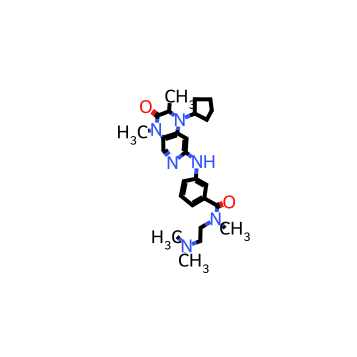 CC1C(=O)N(C)c2cnc(Nc3cccc(C(=O)N(C)CCN(C)C)c3)cc2N1C1CCCC1